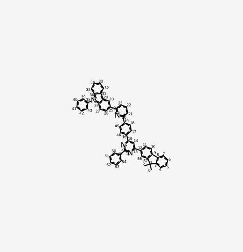 CC1(C)c2ccccc2-c2ccc(-c3cc(-c4ccc(-c5cccc(-c6ccc7c(c6)c6ccccc6n7-c6ccccc6)n5)cc4)nc(-c4ccccc4)n3)cc21